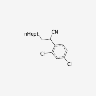 CCCCCCCCC(C#N)c1ccc(Cl)cc1Cl